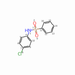 O=S(=O)(Nc1ccc(Cl)cc1)c1ccccc1